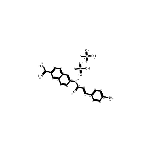 CS(=O)(=O)O.CS(=O)(=O)O.N=C(N)c1ccc2cc(OC(=O)C=Cc3ccc(N)cc3)ccc2c1